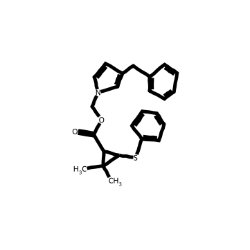 CC1(C)C(Sc2ccccc2)C1C(=O)OCn1ccc(Cc2ccccc2)c1